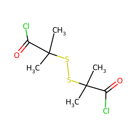 CC(C)(SSC(C)(C)C(=O)Cl)C(=O)Cl